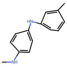 CNc1ccc(Nc2cccc(C)c2)cc1